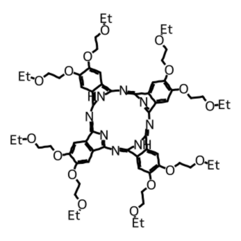 CCOCCOc1cc2c(cc1OCCOCC)-c1nc-2nc2[nH]c(nc3nc(nc4[nH]c(n1)c1cc(OCCOCC)c(OCCOCC)cc41)-c1cc(OCCOCC)c(OCCOCC)cc1-3)c1cc(OCCOCC)c(OCCOCC)cc21